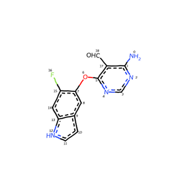 Nc1ncnc(Oc2cc3cc[nH]c3cc2F)c1C=O